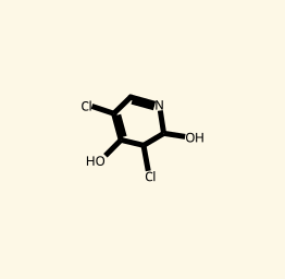 OC1=C(Cl)C=NC(O)C1Cl